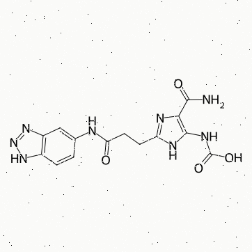 NC(=O)c1nc(CCC(=O)Nc2ccc3[nH]nnc3c2)[nH]c1NC(=O)O